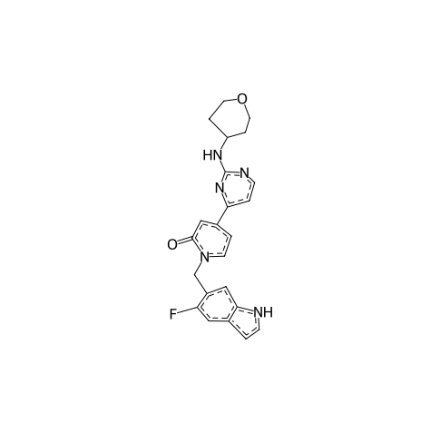 O=c1cc(-c2ccnc(NC3CCOCC3)n2)ccn1Cc1cc2[nH]ccc2cc1F